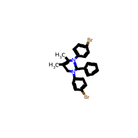 CC1=C(C)N(c2ccc(Br)cc2)C(c2ccccc2)N(c2ccc(Br)cc2)C1